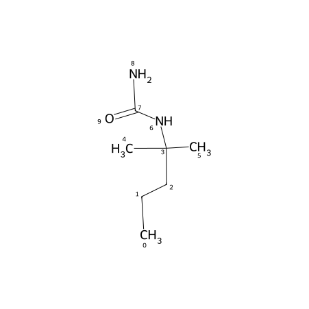 CCCC(C)(C)NC(N)=O